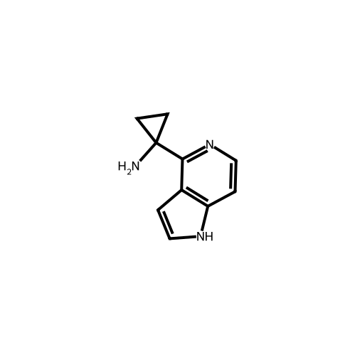 NC1(c2nccc3[nH]ccc23)CC1